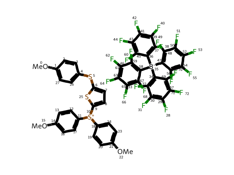 COc1ccc(Sc2ccc([S+](c3ccc(OC)cc3)c3ccc(OC)cc3)s2)cc1.Fc1c(F)c(F)c([B-](c2c(F)c(F)c(F)c(F)c2F)(c2c(F)c(F)c(F)c(F)c2F)c2c(F)c(F)c(F)c(F)c2F)c(F)c1F